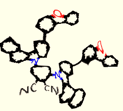 N#Cc1cc(-n2c3ccc(-c4ccc5oc6ccccc6c5c4)cc3c3c4ccccc4ccc32)cc(-n2c3ccc(-c4ccc5oc6ccccc6c5c4)cc3c3c4ccccc4ccc32)c1C#N